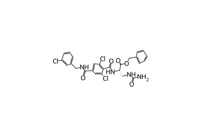 NC(=O)NC[C@H](NC(=O)c1c(Cl)cc(C(=O)NCc2cccc(Cl)c2)cc1Cl)C(=O)OCc1ccccc1